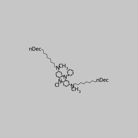 CCCCCCCCCCCCCCCCCCN(C)c1ccc2nc3ccc(N(C)CCCCCCCCCCCCCCCCCC)cc3[n+](-c3ccccc3)c2c1.[Cl-]